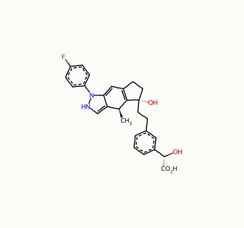 C[C@H]1C2=CNN(c3ccc(F)cc3)C2=CC2=C1[C@](O)(CCc1cccc([C@H](O)C(=O)O)c1)CC2